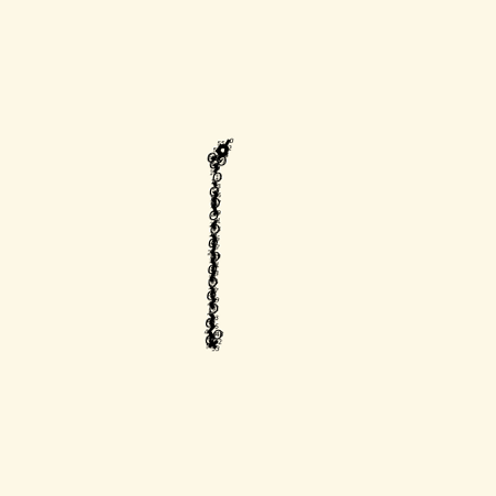 Cc1ccc(S(=O)(=O)OCCOCCOCCOCCOCCOCCOCCOCCOCCOCCOCCOCCOCCC(=O)OC(C)(C)C)cc1